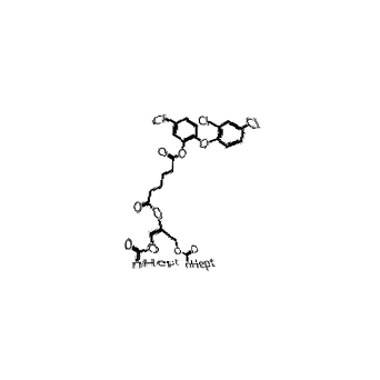 CCCCCCCC(=O)OCC(COC(=O)CCCCCCC)OC(=O)CCCCC(=O)Oc1cc(Cl)ccc1Oc1ccc(Cl)cc1Cl